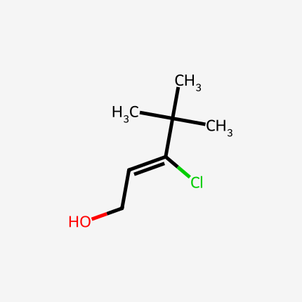 CC(C)(C)C(Cl)=CCO